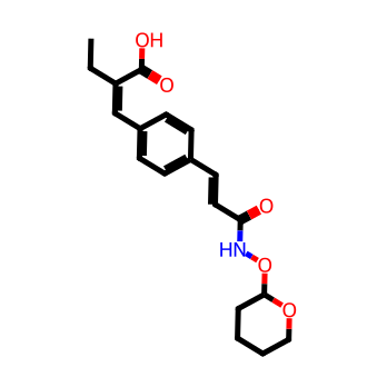 CCC(=Cc1ccc(C=CC(=O)NOC2CCCCO2)cc1)C(=O)O